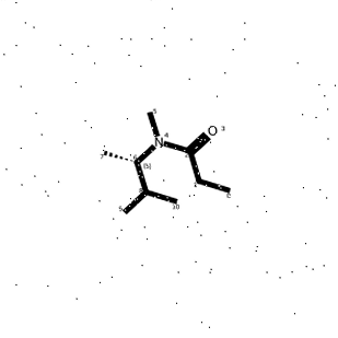 CCC(=O)N(C)[C@@H](C)C(C)C